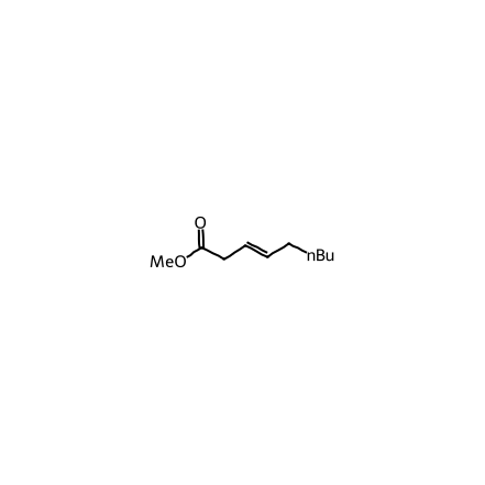 [CH2]CCCC/C=C/CC(=O)OC